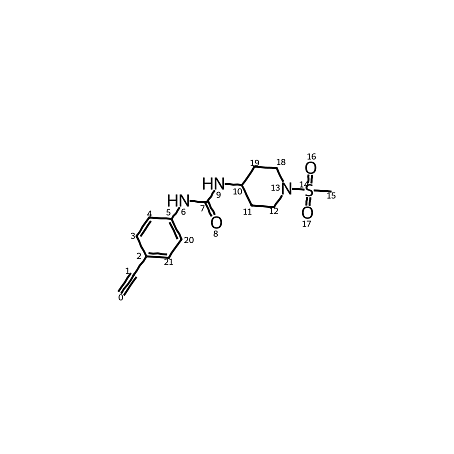 C#Cc1ccc(NC(=O)NC2CCN(S(C)(=O)=O)CC2)cc1